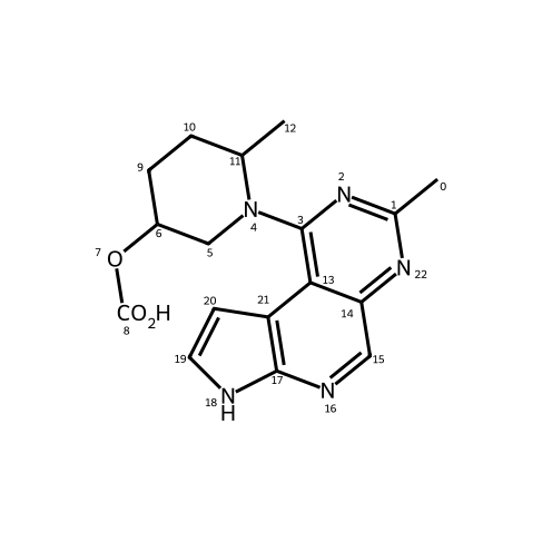 Cc1nc(N2CC(OC(=O)O)CCC2C)c2c(cnc3[nH]ccc32)n1